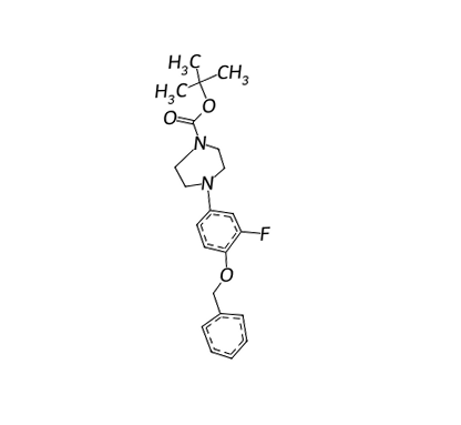 CC(C)(C)OC(=O)N1CCN(c2ccc(OCc3ccccc3)c(F)c2)CC1